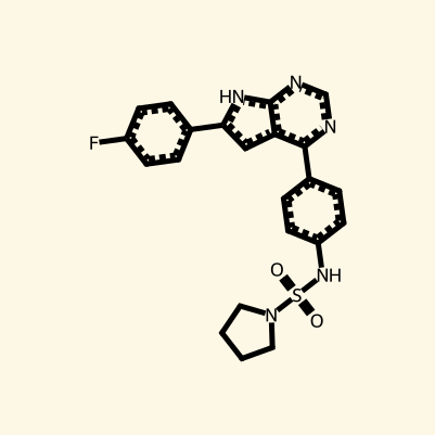 O=S(=O)(Nc1ccc(-c2ncnc3[nH]c(-c4ccc(F)cc4)cc23)cc1)N1CCCC1